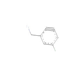 NCc1c#ccc(Cl)c1